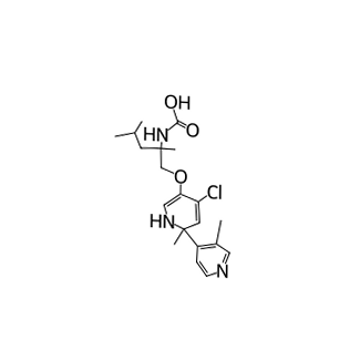 Cc1cnccc1C1(C)C=C(Cl)C(OCC(C)(CC(C)C)NC(=O)O)=CN1